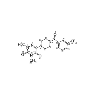 Cn1nc(N2CCN(C(=O)c3cccc(C(F)(F)F)c3)CC2)c(=O)n(C)c1=O